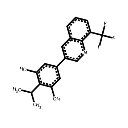 CC(C)c1c(O)cc(-c2cnc3c(C(F)(F)F)cccc3c2)cc1O